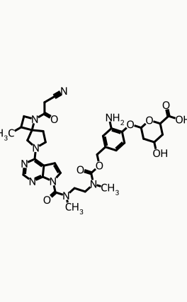 CC1CN(C(=O)CC#N)C12CCN(c1ncnc3c1ccn3C(=O)N(C)CCN(C)C(=O)OCc1ccc(OC3CC(O)CC(C(=O)O)O3)c(N)c1)C2